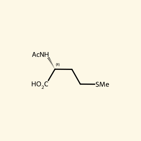 CSCC[C@@H](NC(C)=O)C(=O)O